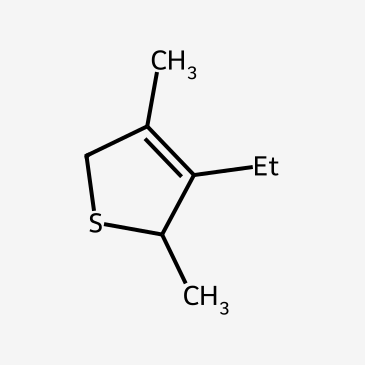 CCC1=C(C)CSC1C